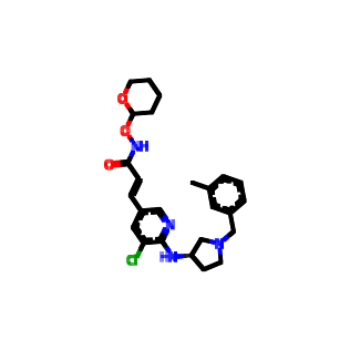 Cc1cccc(CN2CC[C@@H](Nc3ncc(C=CC(=O)NOC4CCCCO4)cc3Cl)C2)c1